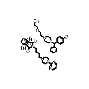 O=C1[C@@H]2[C@H]3CC[C@H](C3)[C@@H]2C(=O)N1CCCCN1CCN(c2ncccn2)CC1.OCCOCCN1CCN(C(c2ccccc2)c2ccc(Cl)cc2)CC1